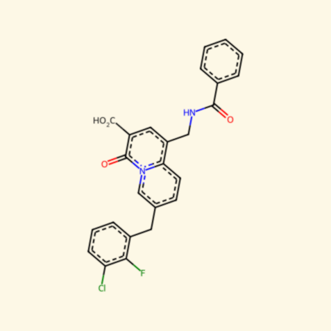 O=C(NCc1cc(C(=O)O)c(=O)n2cc(Cc3cccc(Cl)c3F)ccc12)c1ccccc1